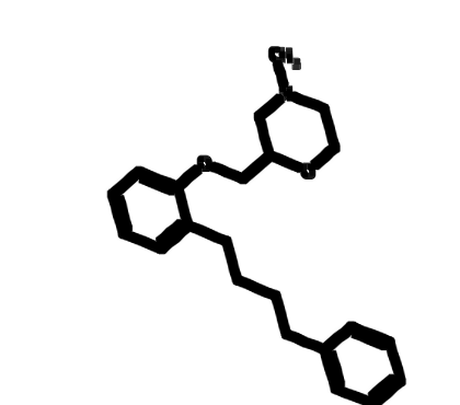 CN1CCOC(COc2ccccc2CCCCc2ccccc2)C1